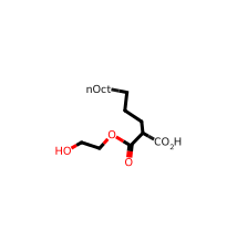 CCCCCCCCCCCC(C(=O)O)C(=O)OCCO